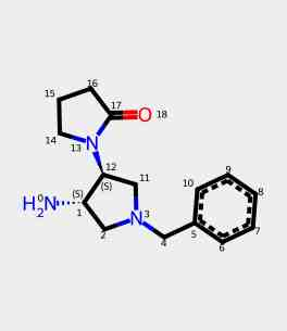 N[C@H]1CN(Cc2ccccc2)C[C@@H]1N1CCCC1=O